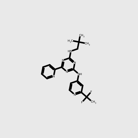 CC(C)(C)CNc1nc(Nc2ccnc(C(C)(F)F)c2)nc(-c2ccccn2)n1